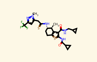 C[C@H]1c2c(sc(NC(=O)C3CC3)c2C(=O)NCC2CC2)CC[C@@H]1NC(=S)Cc1cc(C(F)(F)F)nn1C